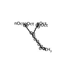 CCCCCCCCC(CCCCCCCC)OC(=O)CCCCCCCOC[C@H](COCCOCCOCCOCCOC(=O)C1CCN(C)CC1)OCCCCCCCC(=O)OC(CCCCCCCC)CCCCCCCC